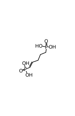 O=P(O)(O)C=CCCCP(=O)(O)O